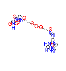 Cc1ccc(NC(=O)c2ccc(CN3CCN(C(=O)CCCCCOCCOCCOCCCCCC(=O)Nc4cccc5c4C(=O)N(C4CCC(=O)NC4=O)C5=O)CC3)cc2)cc1Nc1nccc(-c2cccnc2)n1